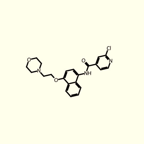 O=C(Nc1ccc(OCCN2CCOCC2)c2ccccc12)c1ccnc(Cl)c1